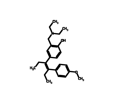 CCC(=C(CC)c1ccc(O)c(CN(CC)CC)c1)c1ccc(OC)cc1